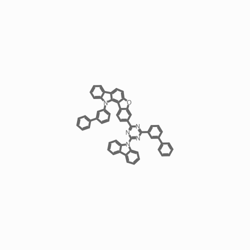 c1ccc(-c2cccc(-c3nc(-c4ccc5c(c4)oc4ccc6c7ccccc7n(-c7cccc(-c8ccccc8)c7)c6c45)nc(-n4c5ccccc5c5ccccc54)n3)c2)cc1